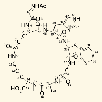 CC(=O)NCC(=O)NC1CCC(=O)NCCCC(C(=O)O)NC(=O)[C@H](C)NC(=O)CNC(=O)C(Cc2ccccc2)NC(=O)[C@H](Cc2c[nH]cn2)NC1=O